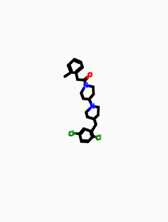 Cc1ccccc1CC(=O)N1CCC(N2CCC(Cc3cc(Cl)ccc3Cl)CC2)CC1